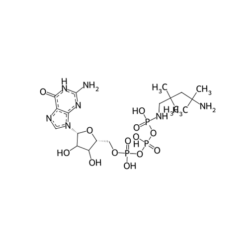 CC(C)(N)CC(C)(C)CNP(=O)(O)OP(=O)(O)OP(=O)(O)OC[C@H]1O[C@@H](n2cnc3c(=O)[nH]c(N)nc32)C(O)C1O